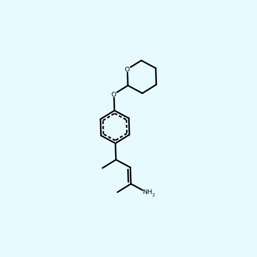 C/C(N)=C\C(C)c1ccc(OC2CCCCO2)cc1